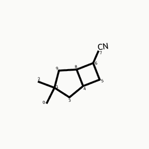 CC1(C)CC2CC(C#N)C2C1